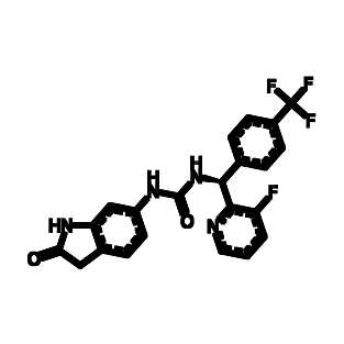 O=C1Cc2ccc(NC(=O)N[C@@H](c3ccc(C(F)(F)F)cc3)c3ncccc3F)cc2N1